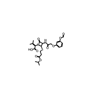 CC(C)=C(C(=O)O)N1C(=O)C(NC(=O)COc2cccc(OC=O)c2)C1SCCC(=O)OC(C)C